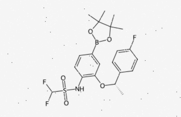 C[C@H](Oc1cc(B2OC(C)(C)C(C)(C)O2)ccc1NS(=O)(=O)C(F)F)c1ccc(F)cc1